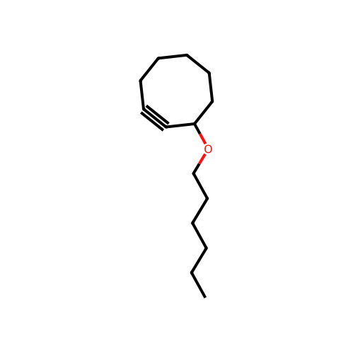 CCCCCCOC1C#CCCCCC1